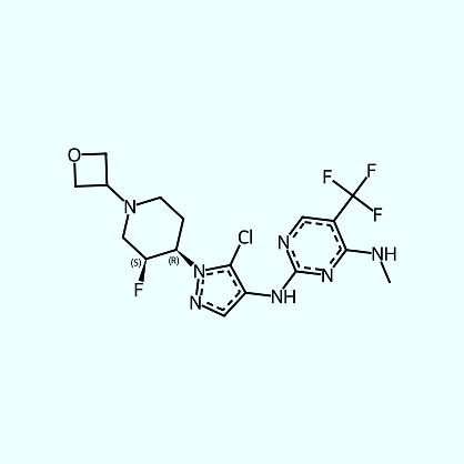 CNc1nc(Nc2cnn([C@@H]3CCN(C4COC4)C[C@@H]3F)c2Cl)ncc1C(F)(F)F